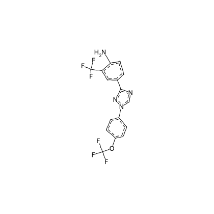 Nc1ccc(-c2ncn(-c3ccc(OC(F)(F)F)cc3)n2)cc1C(F)(F)F